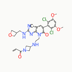 C=CC(=O)N1CC(NCCn2c(=O)c(-c3c(Cl)c(OC)cc(OC)c3Cl)cc3cnc(NCC4COC4)nc32)C1